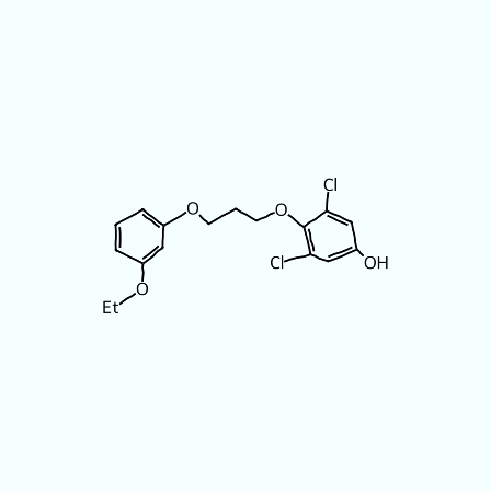 CCOc1cccc(OCCCOc2c(Cl)cc(O)cc2Cl)c1